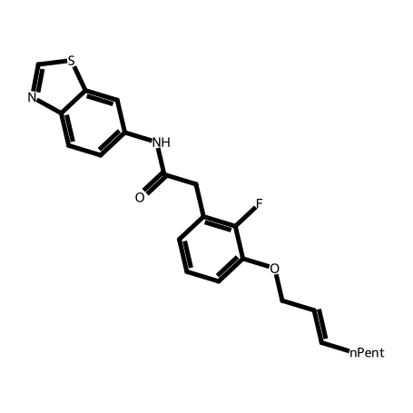 CCCCCC=CCOc1cccc(CC(=O)Nc2ccc3ncsc3c2)c1F